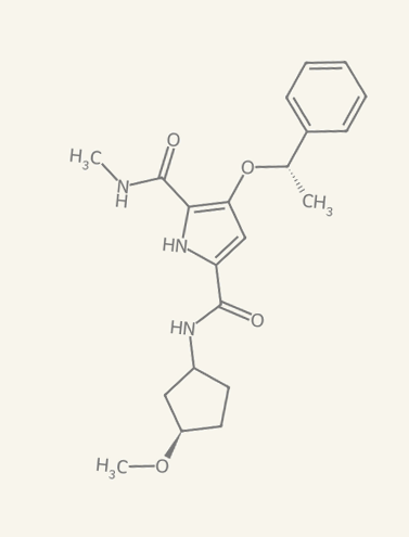 CNC(=O)c1[nH]c(C(=O)NC2CC[C@@H](OC)C2)cc1O[C@@H](C)c1ccccc1